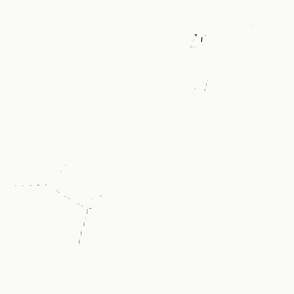 C[C]1C(C)=C(C)C(C)=C1C.[Cl][Zr][Cl]